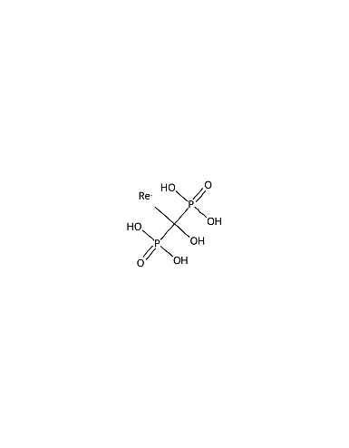 CC(O)(P(=O)(O)O)P(=O)(O)O.[Re]